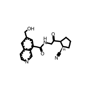 N#C[C@@H]1CCCC1C(=O)CNC(=O)c1cc(CO)cc2ccncc12